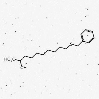 O=C(O)C(O)CCCCCCCCSCc1ccccc1